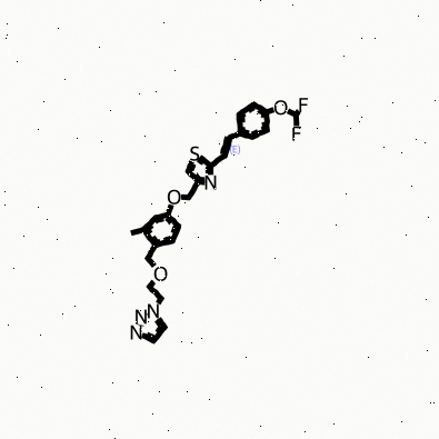 Cc1cc(OCc2csc(/C=C/c3ccc(OC(F)F)cc3)n2)ccc1COCCn1ccnn1